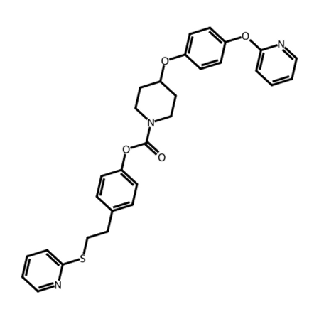 O=C(Oc1ccc(CCSc2ccccn2)cc1)N1CCC(Oc2ccc(Oc3ccccn3)cc2)CC1